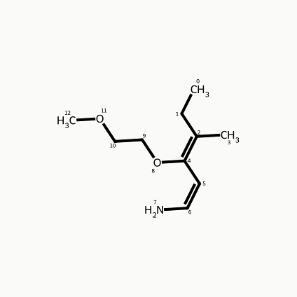 CC/C(C)=C(/C=C\N)OCCOC